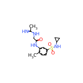 CC(=N)NCC(=O)Nc1cc(S(=O)(=O)NC2CC2)ccc1C